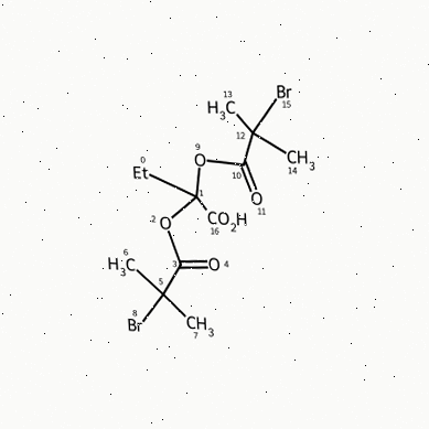 CCC(OC(=O)C(C)(C)Br)(OC(=O)C(C)(C)Br)C(=O)O